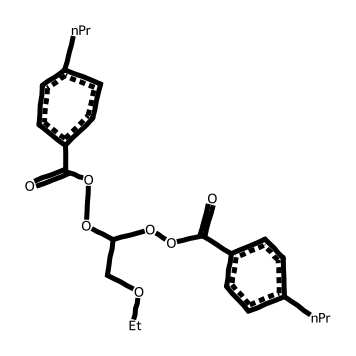 [CH2]COC[C](OOC(=O)c1ccc(CCC)cc1)OOC(=O)c1ccc(CCC)cc1